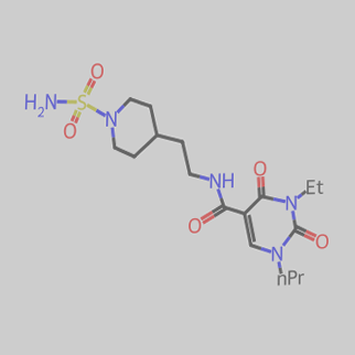 CCCn1cc(C(=O)NCCC2CCN(S(N)(=O)=O)CC2)c(=O)n(CC)c1=O